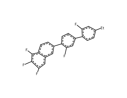 CCc1ccc(-c2ccc(-c3ccc4c(F)c(F)c(F)cc4c3)c(F)c2)c(F)c1